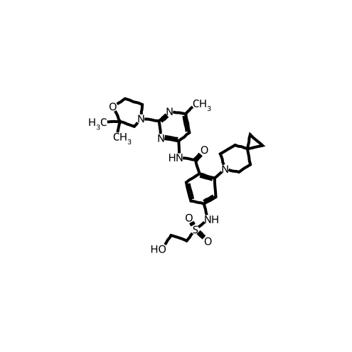 Cc1cc(NC(=O)c2ccc(NS(=O)(=O)CCO)cc2N2CCC3(CC2)CC3)nc(N2CCOC(C)(C)C2)n1